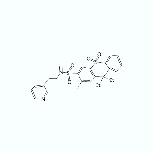 CCC1(CC)c2ccccc2S(=O)(=O)c2cc(S(=O)(=O)NCCc3cccnc3)c(C)cc21